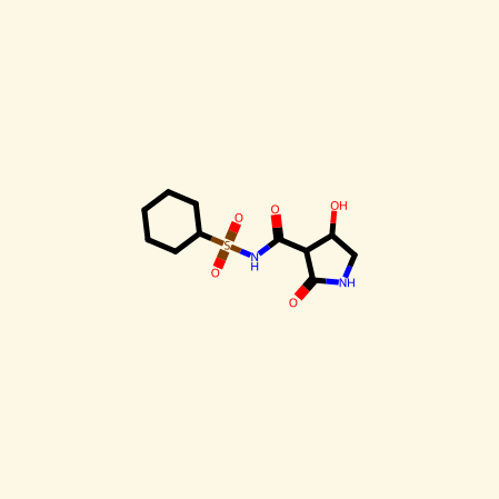 O=C1NCC(O)C1C(=O)NS(=O)(=O)C1CCCCC1